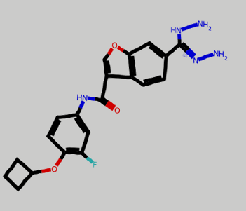 N/N=C(\NN)c1ccc2c(C(=O)Nc3ccc(OC4CCC4)c(F)c3)coc2c1